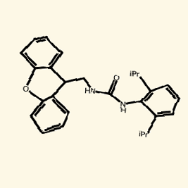 CC(C)c1cccc(C(C)C)c1NC(=O)NCC1c2ccccc2Oc2ccccc21